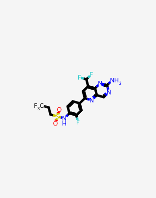 Nc1ncc2nc(-c3ccc(NS(=O)(=O)CCC(F)(F)F)c(F)c3)cc(C(F)F)c2n1